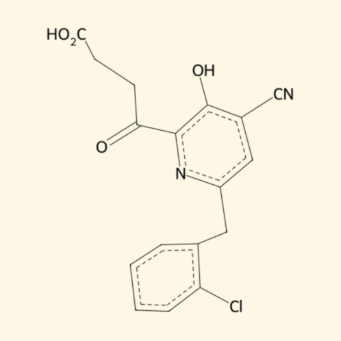 N#Cc1cc(Cc2ccccc2Cl)nc(C(=O)CCC(=O)O)c1O